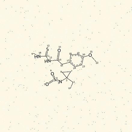 CCC1(N=S(=O)=O)CC1.CNC(=S)NC(=O)Cc1ccc(OC)cc1